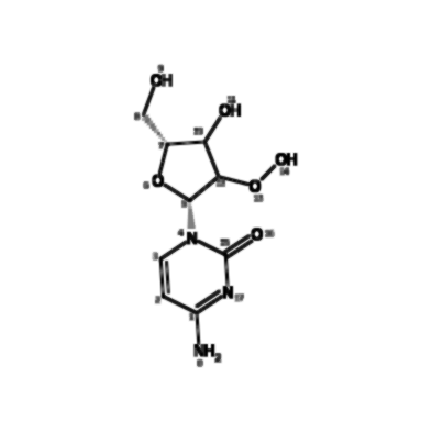 Nc1ccn([C@@H]2O[C@H](CO)C(O)C2OO)c(=O)n1